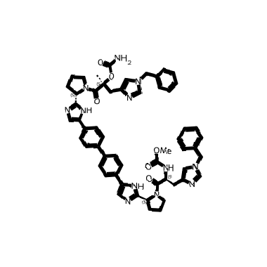 COC(=O)N[C@@H](Cc1cn(Cc2ccccc2)cn1)C(=O)N1CCC[C@H]1c1ncc(-c2ccc(-c3ccc(-c4cnc([C@@H]5CCCN5C(=O)[C@](C)(Cc5cn(Cc6ccccc6)cn5)OC(N)=O)[nH]4)cc3)cc2)[nH]1